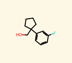 OCC1(c2cccc(F)c2)C[CH]CC1